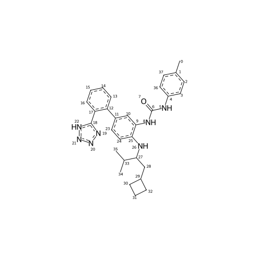 Cc1ccc(NC(=O)Nc2cc(-c3ccccc3-c3nnn[nH]3)ccc2NC(CC2CCC2)C(C)C)cc1